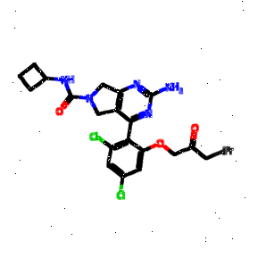 CC(C)CC(=O)COc1cc(Cl)cc(Cl)c1-c1nc(N)nc2c1CN(C(=O)NC1CCC1)C2